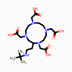 CC(C)(C)NCCC1CN(CC(=O)O)CCN(CC(=O)O)CCN(CC(=O)O)CCN1CC(=O)O